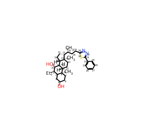 CC[C@@H]1C2C[C@H](O)CC[C@]2(C)[C@H]2CC[C@]3(C)[C@@H]([C@H](C)CCc4nnc(-c5ccccc5)s4)CC[C@H]3[C@@H]2[C@@H]1O